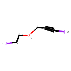 IC#CCOCCI